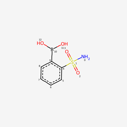 NS(=O)(=O)c1ccccc1B(O)O